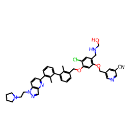 Cc1c(COc2cc(OCc3cncc(C#N)c3)c(CNCO)cc2Cl)cccc1-c1cccc(-c2ccc3c(cnn3CCN3CCCC3)n2)c1C